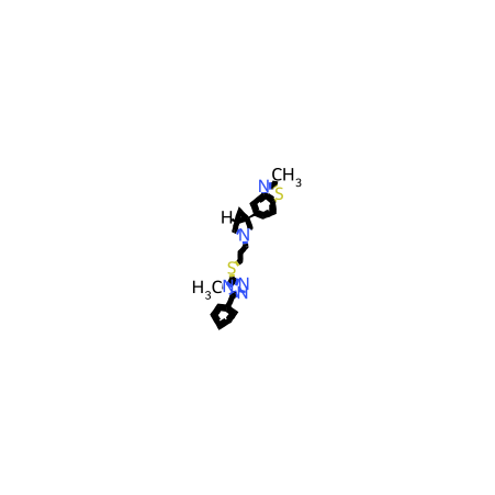 Cc1nc2cc([C@]34C[C@H]3CN(CCCSc3nnc(-c5ccccc5)n3C)C4)ccc2s1